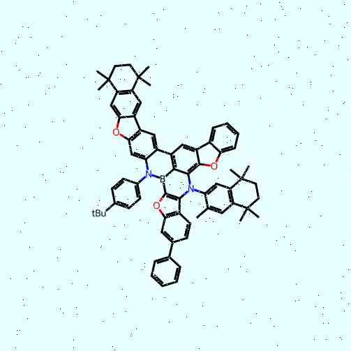 Cc1cc2c(cc1N1c3c(oc4cc(-c5ccccc5)ccc34)B3c4c(cc5c(oc6ccccc65)c41)-c1cc4c(cc1N3c1ccc(C(C)(C)C)cc1)oc1cc3c(cc14)C(C)(C)CCC3(C)C)C(C)(C)CCC2(C)C